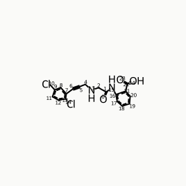 O=C(CNCC#Cc1cc(Cl)ccc1Cl)Nc1ccccc1C(=O)O